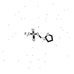 O=S(=O)(OC[C@H]1CCCO1)C(F)(F)F